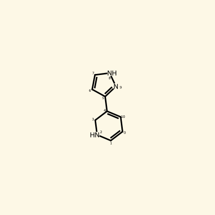 C1=CNCC(c2cc[nH]n2)=C1